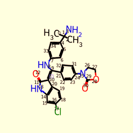 CC(C)(N)c1ccc(N/C(=C2\C(=O)Nc3cc(Cl)ccc32)c2ccc(N3CCOC3=O)cc2)cc1